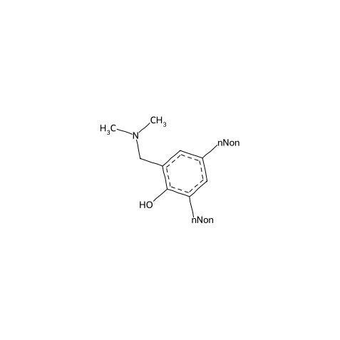 CCCCCCCCCc1cc(CCCCCCCCC)c(O)c(CN(C)C)c1